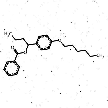 CCCCCCOc1ccc(C(CCC)OC(=O)c2ccccc2)cc1